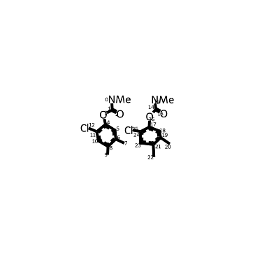 CNC(=O)Oc1cc(C)c(C)cc1Cl.CNC(=O)Oc1cc(C)c(C)cc1Cl